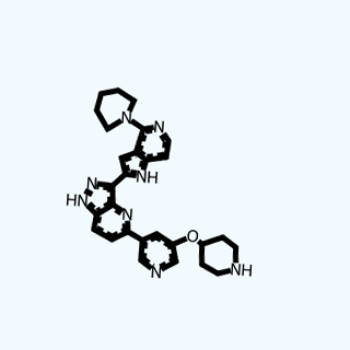 c1cc2[nH]c(-c3n[nH]c4ccc(-c5cncc(OC6CCNCC6)c5)nc34)cc2c(N2CCCCC2)n1